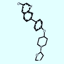 Clc1cnc2cc(-c3ccc(OC4CCN([C@H]5CCCO5)CC4)cc3)ccc2c1